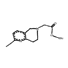 Cc1ccc2c(n1)CCN(CC(=O)OC(C)(C)C)C2